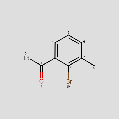 CCC(=O)c1cccc(C)c1Br